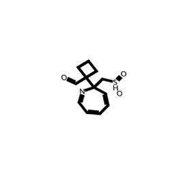 O=CC1(C2(C[SH](=O)=O)C=CC=CC=N2)CCC1